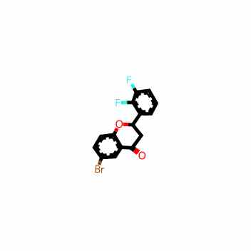 O=C1CC(c2cccc(F)c2F)Oc2ccc(Br)cc21